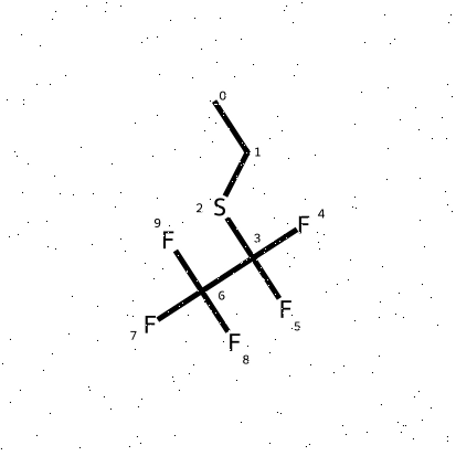 CCSC(F)(F)C(F)(F)F